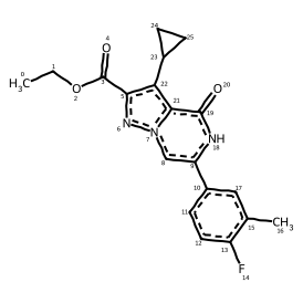 CCOC(=O)c1nn2cc(-c3ccc(F)c(C)c3)[nH]c(=O)c2c1C1CC1